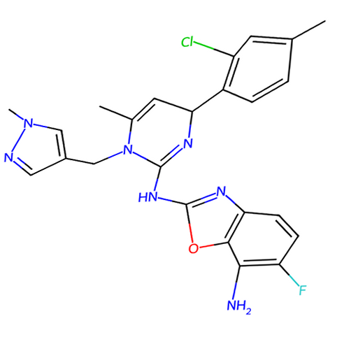 CC1=CC(c2ccc(C)cc2Cl)N=C(Nc2nc3ccc(F)c(N)c3o2)N1Cc1cnn(C)c1